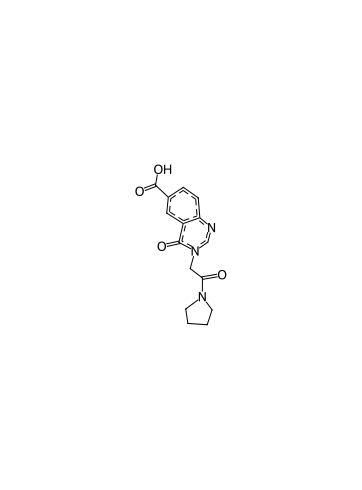 O=C(O)c1ccc2ncn(CC(=O)N3CCCC3)c(=O)c2c1